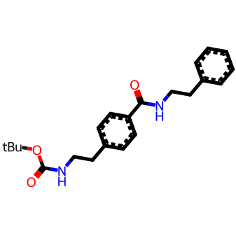 CC(C)(C)OC(=O)NCCc1ccc(C(=O)NCCc2ccccc2)cc1